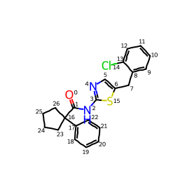 O=C(Nc1ncc(Cc2ccccc2Cl)s1)C1(c2ccccc2)CCCC1